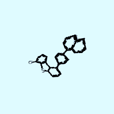 Clc1cccc2c1SC1C=CC=C(c3ccc(-c4cccc5ccccc45)cc3)C21